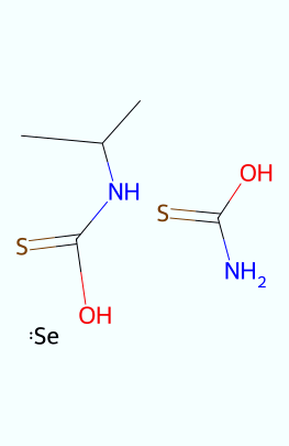 CC(C)NC(O)=S.NC(O)=S.[Se]